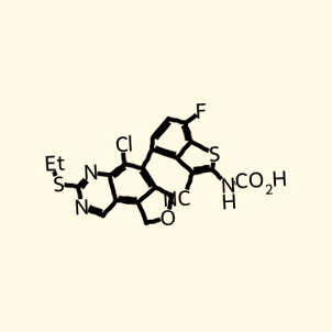 CCSc1ncc2c3c(c(-c4ccc(F)c5sc(NC(=O)O)c(C#N)c45)c(Cl)c2n1)COC3